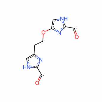 O=[C]c1nc(CCOc2c[nH]c([C]=O)n2)c[nH]1